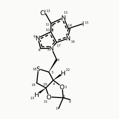 CC1(C)O[C@H]2[C@H](Cn3cnc4c(Cl)nc(I)nc43)SC[C@H]2O1